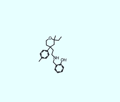 CCC1(C)CC(CCNCc2ccccc2O)(c2ccc(C)cc2)CCO1